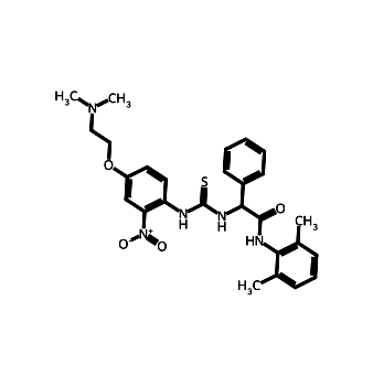 Cc1cccc(C)c1NC(=O)C(NC(=S)Nc1ccc(OCCN(C)C)cc1[N+](=O)[O-])c1ccccc1